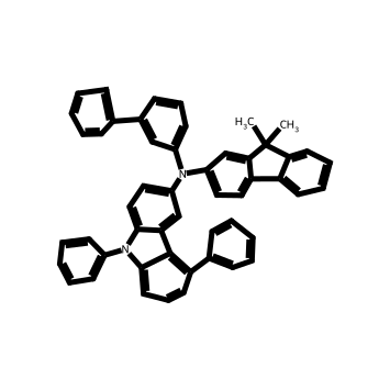 CC1(C)c2ccccc2-c2ccc(N(c3cccc(-c4ccccc4)c3)c3ccc4c(c3)c3c(-c5ccccc5)cccc3n4-c3ccccc3)cc21